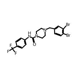 O=C(Nc1ccc(C(F)(F)F)cc1)N1CCN(Cc2ccc(Br)c(Br)c2)CC1